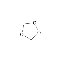 [CH]1OCOO1